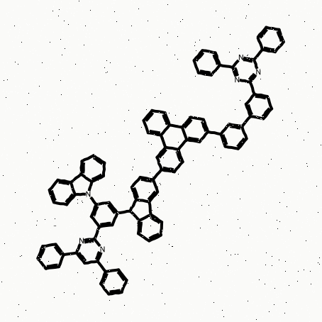 c1ccc(-c2cc(-c3ccccc3)nc(-c3cc(C4c5ccccc5-c5cc(-c6ccc7c8cc(-c9cccc(-c%10cccc(-c%11nc(-c%12ccccc%12)nc(-c%12ccccc%12)n%11)c%10)c9)ccc8c8ccccc8c7c6)ccc54)cc(-n4c5ccccc5c5ccccc54)c3)n2)cc1